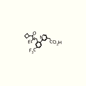 CCN(Cc1cc(C(F)(F)F)ccc1-c1cc(CC(=O)O)ccn1)C(=O)C1CCC1